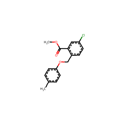 COC(=O)c1cc(Cl)ccc1COc1ccc(C)cc1